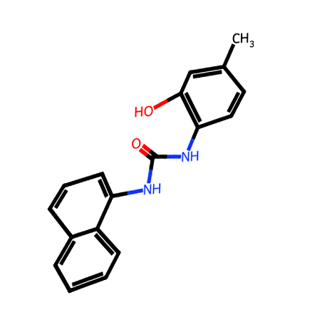 Cc1ccc(NC(=O)Nc2cccc3ccccc23)c(O)c1